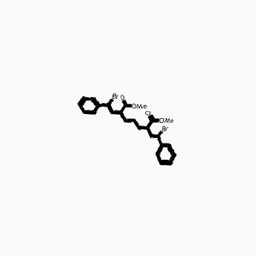 COC(=O)C(CCCC(CC(Br)c1ccccc1)C(=O)OC)CC(Br)c1ccccc1